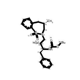 C[C@H]1Cc2ccccc2S(=O)(=O)N(C[C@@H](O)[C@H](Cc2ccccc2)NC(=O)OC(C)(C)C)C1